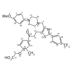 COc1ccc(N2CCN(Cc3nc(-c4ccc(C(F)(F)F)cc4)sc3CCC(=O)c3ccc(OCC(=O)O)c(C)c3)CC2)cc1